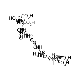 Cc1cc(-c2ccc(NC(=O)C(N)CCCCNC(=O)CCOCCOCCC(=O)NCC3CCC(C(=O)N[C@@H](Cc4ccc5ccccc5c4)C(=O)NCCCC[C@H](NC(=O)N[C@@H](CCC(=O)O)C(=O)O)C(=O)O)CC3)c(C)c2)ccc1NNc1ccc2c(S(=O)(=O)O)cc(S(=O)(=O)O)c(N)c2c1O